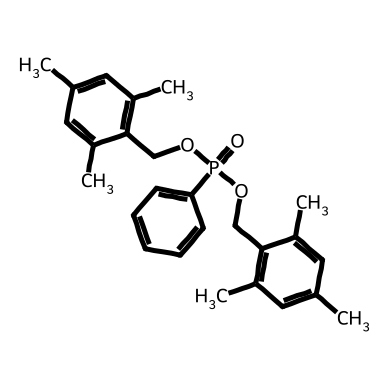 Cc1cc(C)c(COP(=O)(OCc2c(C)cc(C)cc2C)c2ccccc2)c(C)c1